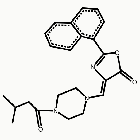 CC(C)CC(=O)N1CCN(/C=C2\N=C(c3cccc4ccccc34)OC2=O)CC1